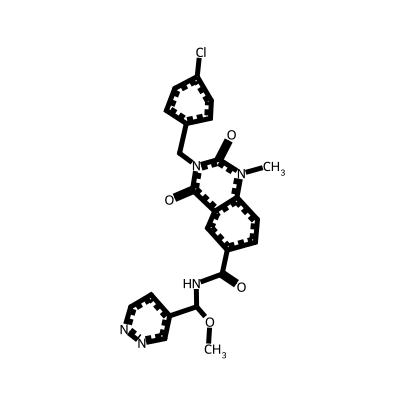 COC(NC(=O)c1ccc2c(c1)c(=O)n(Cc1ccc(Cl)cc1)c(=O)n2C)c1ccnnc1